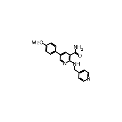 COc1ccc(-c2cnc(NCc3ccncc3)c(C(N)=O)c2)cc1